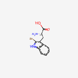 N[C@@H](Cc1c(Br)[nH]c2ccccc12)C(=O)O